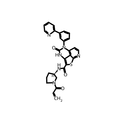 C=CC(=O)N1CCC[C@@H](NC(=O)c2sc3nccc4c3c2NC(=O)N4c2cccc(-c3ccccn3)c2)C1